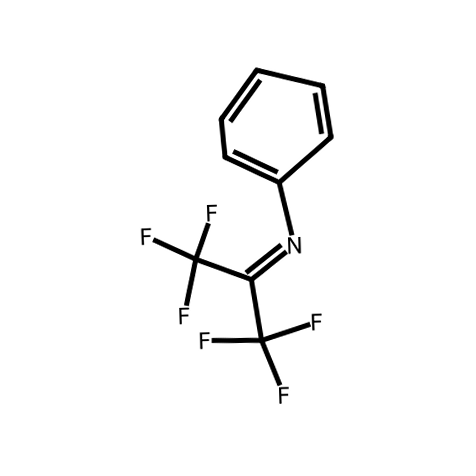 FC(F)(F)C(=Nc1ccccc1)C(F)(F)F